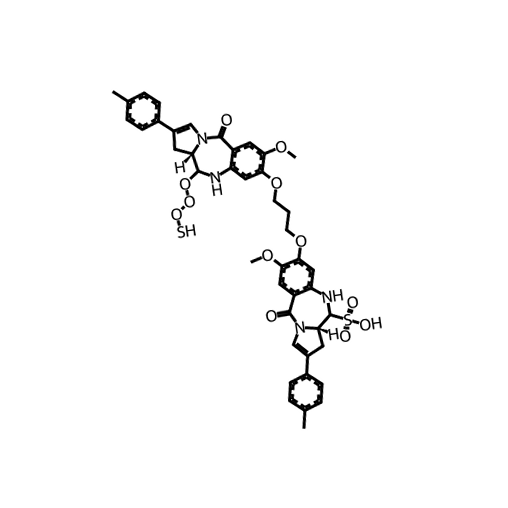 COc1cc2c(cc1OCCCOc1cc3c(cc1OC)C(=O)N1C=C(c4ccc(C)cc4)C[C@H]1C(S(=O)(=O)O)N3)NC(OOOS)[C@@H]1CC(c3ccc(C)cc3)=CN1C2=O